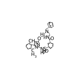 Cc1cccc(C)c1-c1cc2nc(n1)NS(=O)(=O)c1cccc(c1)C(=O)N1CCN(CC3CC4C=CC3CC4)C[C@@H]1CO2